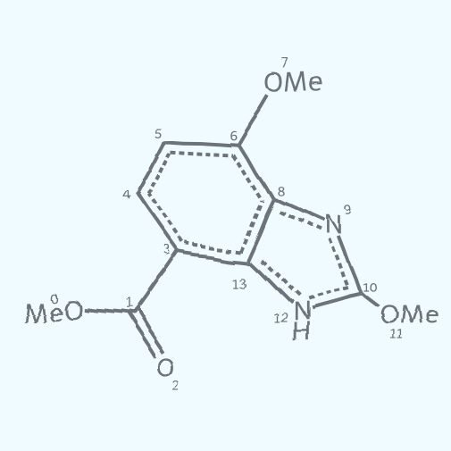 COC(=O)c1ccc(OC)c2nc(OC)[nH]c12